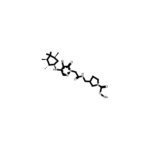 C[C@@H]1[C@@H](C)C(C)(C)[C@@H](C)C[C@H]1Nc1cnn(CC(=O)NCC2CCN(C(=O)OC(C)(C)C)C2)c(=O)c1Br